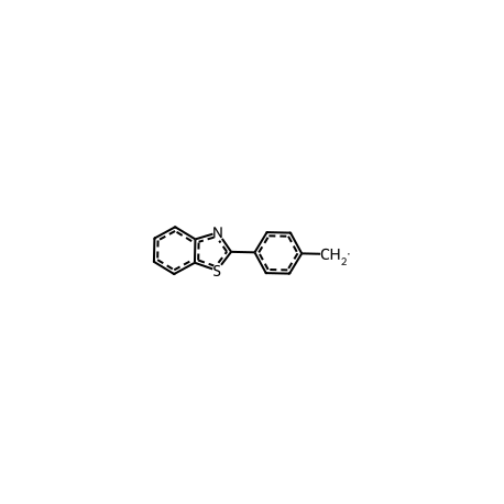 [CH2]c1ccc(-c2nc3ccccc3s2)cc1